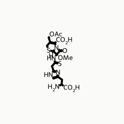 CO[C@@]1(NC(=S)Cc2nc(CC(N)C(=O)O)c[nH]2)C(=O)N2C(C(=O)O)=C(COC(C)=O)CS[C@H]21